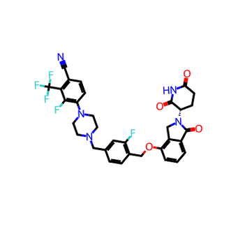 N#Cc1ccc(N2CCN(Cc3ccc(COc4cccc5c4CN([C@H]4CCC(=O)NC4=O)C5=O)c(F)c3)CC2)c(F)c1C(F)(F)F